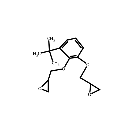 CC(C)(C)c1cccc(OCC2CO2)c1OCC1CO1